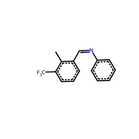 Cc1c(/C=N\c2ccccc2)cccc1C(F)(F)F